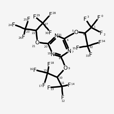 FC(F)(F)C(Oc1nc(OC(C(F)(F)F)C(F)(F)F)nc(OC(C(F)(F)F)C(F)(F)F)n1)C(F)(F)F